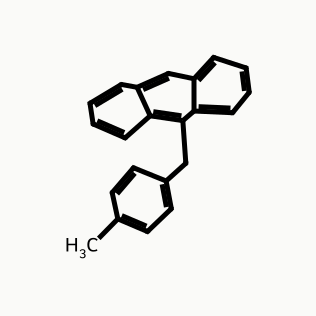 Cc1ccc(Cc2c3ccccc3cc3ccccc23)cc1